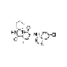 Cc1cc(Nc2ncnc3cc(Cl)ccc23)c(=O)n2c1C(=O)NC21CCCCC1